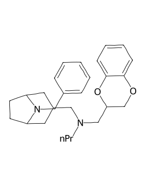 CCCN(CC1CC2CCC(C1)N2Cc1ccccc1)CC1COc2ccccc2O1